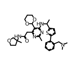 Cc1nc(CC(=O)NC2(C)CCOC2)c(C2OCCCO2)c(NC(C)c2ccc(-c3ccccc3CN(C)C)s2)n1